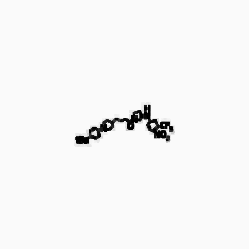 CC(C)(C)c1ccc(N2CCC(CCCC(=O)N3CC[C@@H](Nc4ccc([N+](=O)[O-])c(C(F)(F)F)c4)C3)CC2)cc1